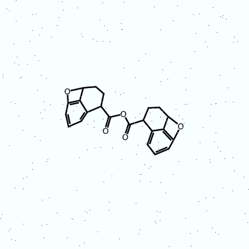 O=C(OC(=O)C1CCC2Oc3cccc1c32)C1CCC2Oc3cccc1c32